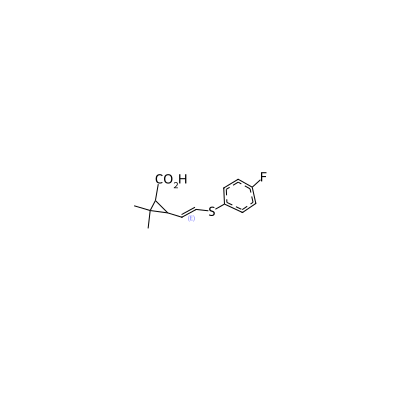 CC1(C)C(/C=C/Sc2ccc(F)cc2)C1C(=O)O